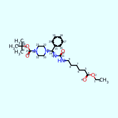 CCOC(=O)CCCCCNC(=O)/N=C(\c1ccccc1)N1CCN(C(=O)OC(C)(C)C)CC1